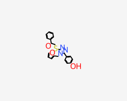 O=C(CSc1nnc(-c2ccc(O)cc2)n1Cc1ccco1)c1ccccc1